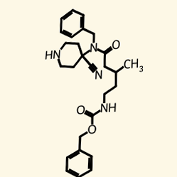 CC(CCNC(=O)OCc1ccccc1)CC(=O)N(Cc1ccccc1)C1(C#N)CCNCC1